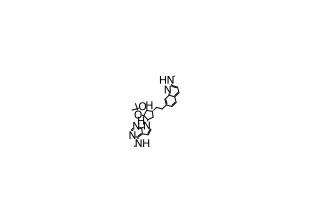 CNc1ccc2ccc(CC[C@H]3C[C@@H](n4ccc5c(NC)ncnc54)[C@@H]4OC(C)(C)O[C@H]34)cc2n1